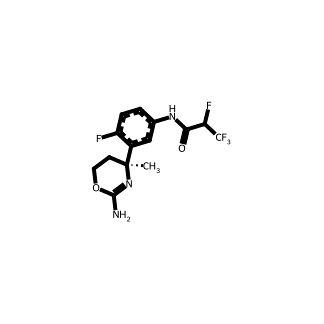 C[C@@]1(c2cc(NC(=O)C(F)C(F)(F)F)ccc2F)CCOC(N)=N1